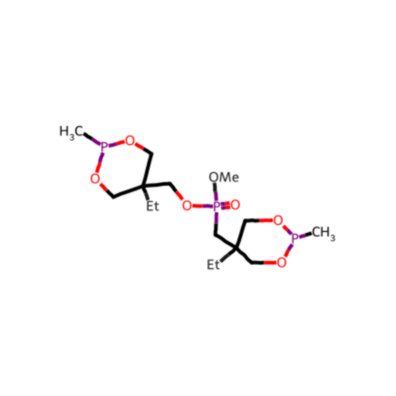 CCC1(COP(=O)(CC2(CC)COP(C)OC2)OC)COP(C)OC1